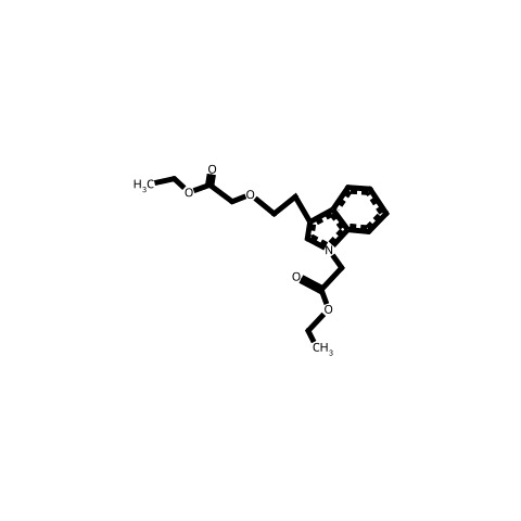 CCOC(=O)COCCc1cn(CC(=O)OCC)c2ccccc12